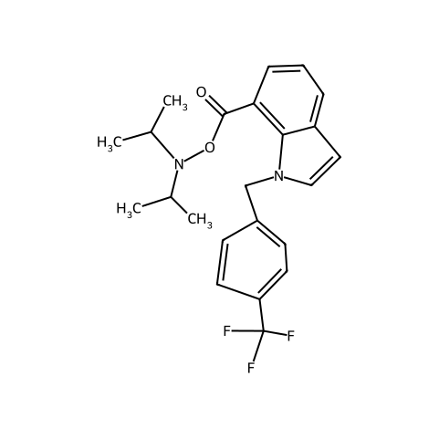 CC(C)N(OC(=O)c1cccc2ccn(Cc3ccc(C(F)(F)F)cc3)c12)C(C)C